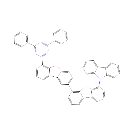 c1ccc(-c2nc(-c3ccccc3)nc(-c3cccc4c3oc3ccc(-c5cccc6c5sc5c(-n7c8ccccc8c8ccccc87)cccc56)cc34)n2)cc1